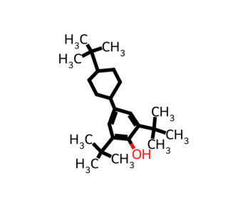 CC(C)(C)c1cc(C2CCC(C(C)(C)C)CC2)cc(C(C)(C)C)c1O